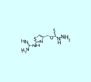 N=C(N)Nc1nc(COC(=S)NN)cs1